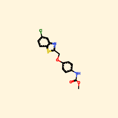 COC(=O)Nc1ccc(OCc2nc3cc(Cl)ccc3s2)cc1